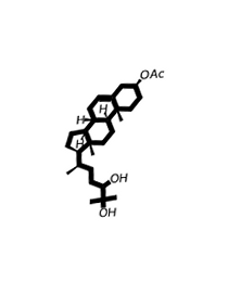 CC(=O)O[C@H]1CC[C@@]2(C)C(=CC[C@H]3[C@@H]4CC[C@H]([C@H](C)CCC(O)C(C)(C)O)[C@@]4(C)CC[C@@H]32)C1